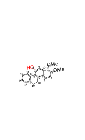 COc1ccc2c3c(c(O)cc2c1OC)-c1ccccc1CC3